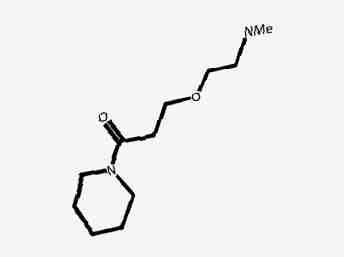 CNCCOCCC(=O)N1CCCCC1